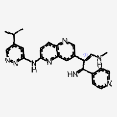 CN/C=C(\C(=N)c1ccncc1)c1cnc2ccc(Nc3cc(C(C)C)cnn3)nc2c1